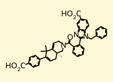 CC1(C)C(c2ccc(C(=O)O)cc2)=CC[C@]2(C)CN(C(=O)c3ccccc3-c3nc4cc(C(=O)O)ccc4n3Cc3ccccc3)CC=C12